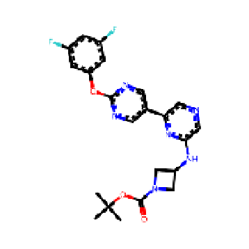 CC(C)(C)OC(=O)N1CC(Nc2cncc(-c3cnc(Oc4cc(F)cc(F)c4)nc3)n2)C1